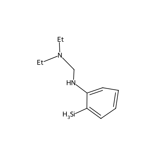 CCN(CC)CNc1ccccc1[SiH3]